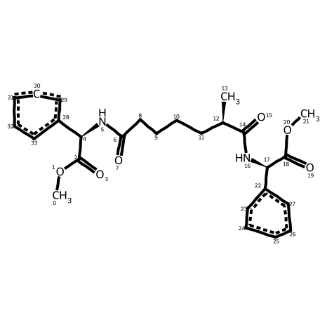 COC(=O)[C@H](NC(=O)CCCC[C@@H](C)C(=O)N[C@@H](C(=O)OC)c1ccccc1)c1ccccc1